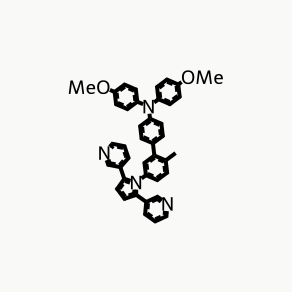 COc1ccc(N(c2ccc(OC)cc2)c2ccc(-c3cc(-n4c(-c5cccnc5)ccc4-c4cccnc4)ccc3C)cc2)cc1